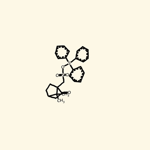 CC1(C)C2CCC1(CS(=O)(=O)OS(c1ccccc1)(c1ccccc1)c1ccccc1)C(=O)C2